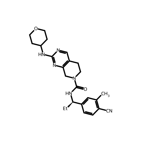 CC[C@@H](NC(=O)N1CCc2cnc(NC3CCOCC3)nc2C1)c1ccc(C#N)c(C)c1